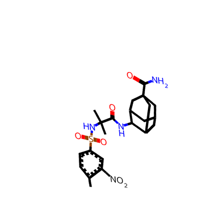 Cc1ccc(S(=O)(=O)NC(C)(C)C(=O)NC2C3CC4CC2CC(C(N)=O)(C4)C3)cc1[N+](=O)[O-]